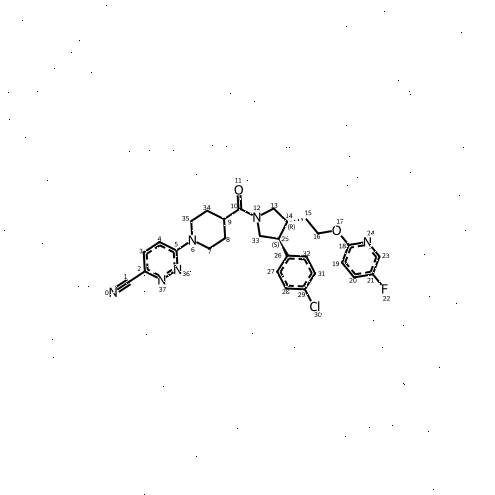 N#Cc1ccc(N2CCC(C(=O)N3C[C@H](CCOc4ccc(F)cn4)[C@@H](c4ccc(Cl)cc4)C3)CC2)nn1